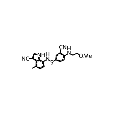 COCCNc1ccc(SNc2ccc(C)c3c(C#N)c[nH]c23)cc1C#N